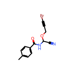 Cc1ccc(C(=O)NC(C#N)OCC#CBr)cc1